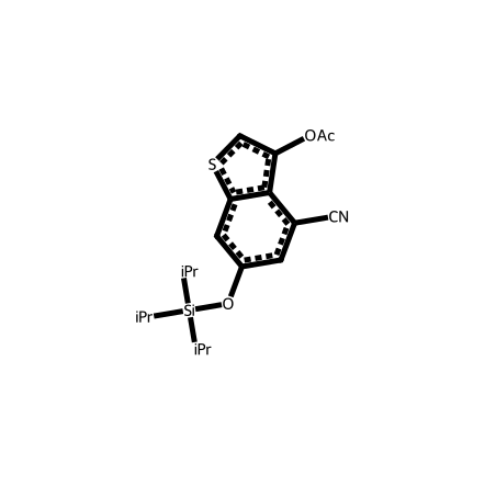 CC(=O)Oc1csc2cc(O[Si](C(C)C)(C(C)C)C(C)C)cc(C#N)c12